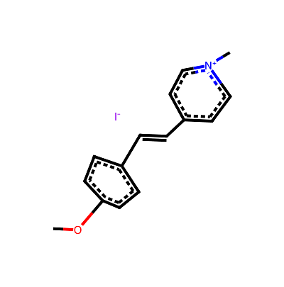 COc1ccc(C=Cc2cc[n+](C)cc2)cc1.[I-]